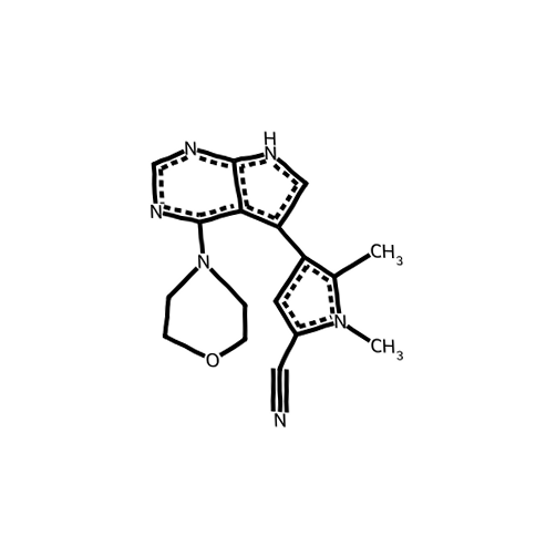 Cc1c(-c2c[nH]c3ncnc(N4CCOCC4)c23)cc(C#N)n1C